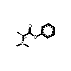 C[C@@H](C(=O)Oc1ccccc1)N(C)C